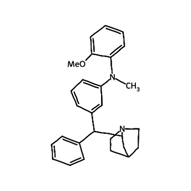 COc1ccccc1N(C)c1cccc(C(c2ccccc2)C2CC3CCN2CC3)c1